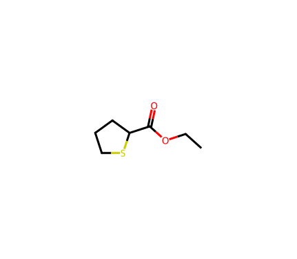 CCOC(=O)C1CCCS1